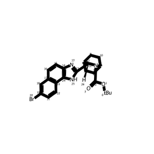 CC(C)(C)OC(=O)N1C2CCC(CC2)[C@H]1c1nc2ccc3cc(Br)ccc3c2[nH]1